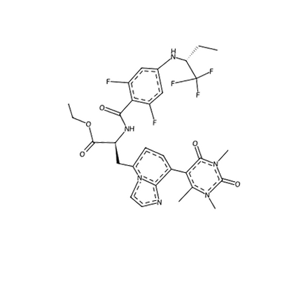 CCOC(=O)[C@H](Cc1ccc(-c2c(C)n(C)c(=O)n(C)c2=O)c2nccn12)NC(=O)c1c(F)cc(N[C@H](CC)C(F)(F)F)cc1F